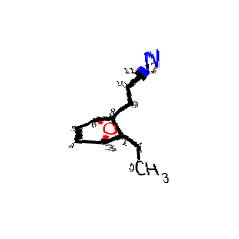 CCC1C2C=CC(O2)C1CCC#N